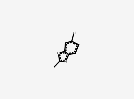 Cc1nc2c[c]c(Cl)cc2o1